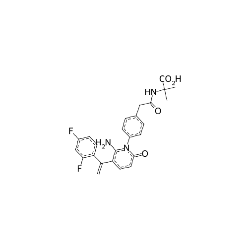 C=C(c1ccc(F)cc1F)c1ccc(=O)n(-c2ccc(CC(=O)NC(C)(C)C(=O)O)cc2)c1N